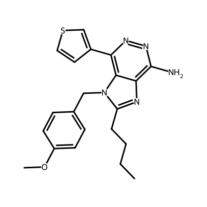 CCCCc1nc2c(N)nnc(-c3ccsc3)c2n1Cc1ccc(OC)cc1